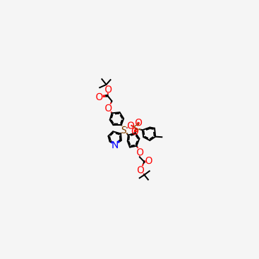 Cc1ccc(S(=O)(=O)OS(c2ccc(OCC(=O)OC(C)(C)C)cc2)(c2ccc(OCC(=O)OC(C)(C)C)cc2)c2cccnc2)cc1